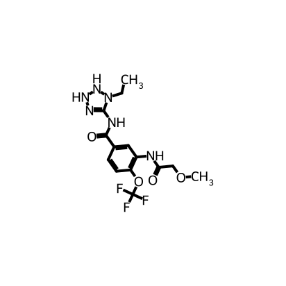 CCN1NNN=C1NC(=O)c1ccc(OC(F)(F)F)c(NC(=O)COC)c1